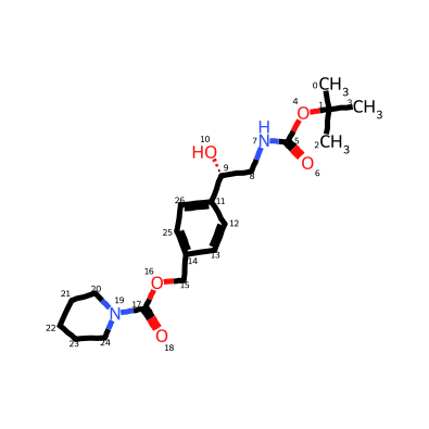 CC(C)(C)OC(=O)NC[C@@H](O)c1ccc(COC(=O)N2CCCCC2)cc1